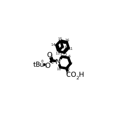 CC(C)(C)OC(=O)N1CCCC(C(=O)O)C1.c1cc2cc(c1)C2